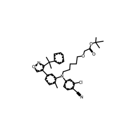 Cc1ccc(-c2conc2C(C)(C)c2ccccc2)cc1N(CCCCCOCC(=O)OC(C)(C)C)c1ccc(C#N)c(Cl)c1